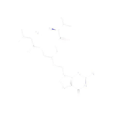 CC(C)[C@H](N)C(=O)OCC(COC(=O)[C@@H](N)C(C)C)OCn1cnc2c(=O)[nH]c(N)nc21